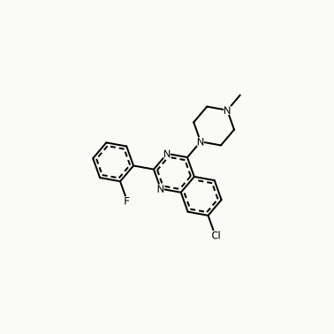 CN1CCN(c2nc(-c3ccccc3F)nc3cc(Cl)ccc23)CC1